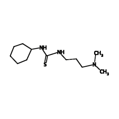 CN(C)CCCNC(=S)NC1CCCCC1